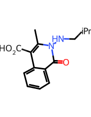 Cc1c(C(=O)O)c2ccccc2c(=O)n1NCC(C)C